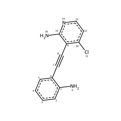 Nc1ccccc1C#Cc1c(Cl)ccnc1N